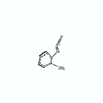 COc1ccccc1N=[N+]=[N-]